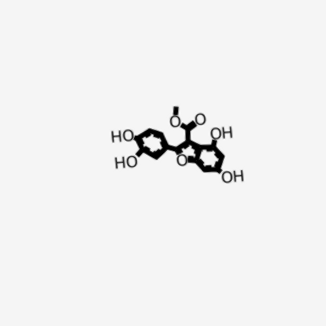 COC(=O)c1c(-c2ccc(O)c(O)c2)oc2cc(O)cc(O)c12